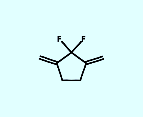 C=C1CCC(=C)C1(F)F